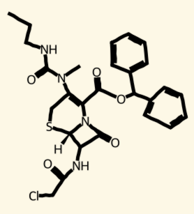 CCCNC(=O)N(C)C1=C(C(=O)OC(c2ccccc2)c2ccccc2)N2C(=O)C(NC(=O)CCl)[C@@H]2SC1